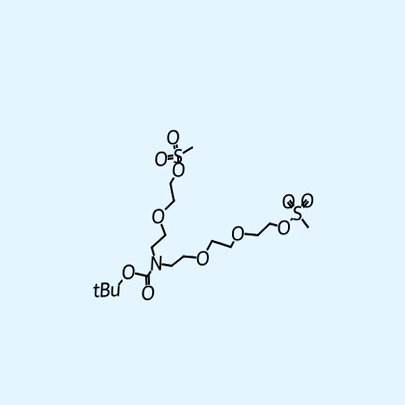 CC(C)(C)OC(=O)N(CCOCCOCCOS(C)(=O)=O)CCOCCOS(C)(=O)=O